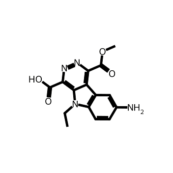 CCn1c2ccc(N)cc2c2c(C(=O)OC)nnc(C(=O)O)c21